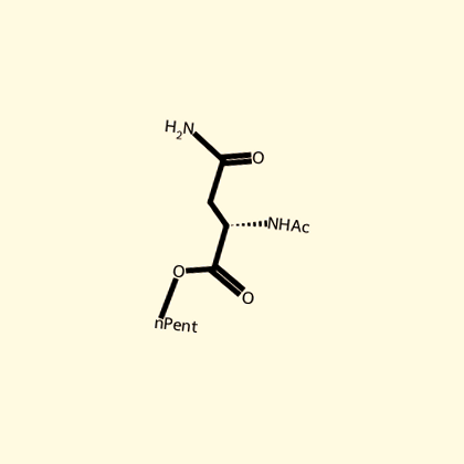 CCCCCOC(=O)[C@H](CC(N)=O)NC(C)=O